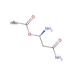 CCCCC(=O)O[C@@H](N)CC(N)=O